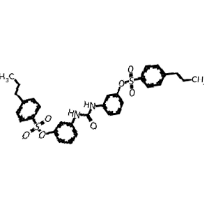 CCCc1ccc(S(=O)(=O)Oc2cccc(NC(=O)Nc3cccc(OS(=O)(=O)c4ccc(CCC)cc4)c3)c2)cc1